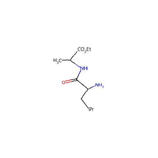 CCOC(=O)C(C)NC(=O)C(N)CC(C)C